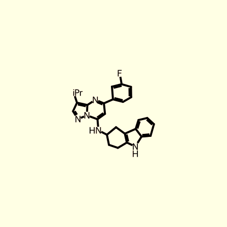 CC(C)c1cnn2c(NC3CCc4[nH]c5ccccc5c4C3)cc(-c3cccc(F)c3)nc12